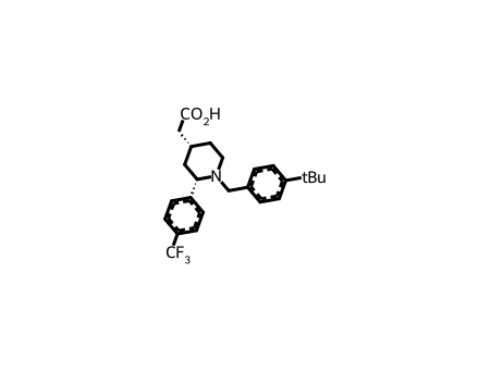 CC(C)(C)c1ccc(CN2CC[C@@H](CC(=O)O)C[C@H]2c2ccc(C(F)(F)F)cc2)cc1